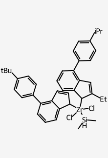 CCC1=Cc2c(-c3ccc(C(C)C)cc3)cccc2[CH]1[Zr]([Cl])([Cl])([CH]1C=Cc2c(-c3ccc(C(C)(C)C)cc3)cccc21)[SiH](C)C